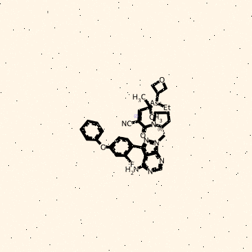 CC[As](C1COC1)C(C)(C)/C=C(/C#N)C(=O)N1CCC[C@@H]1Cn1nc(-c2ccc(Oc3ccccc3)cc2F)c2c(N)ncnc21